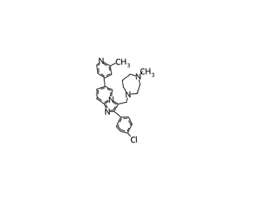 Cc1cc(-c2ccc3nc(-c4ccc(Cl)cc4)c(CN4CCCN(C)CC4)n3c2)ccn1